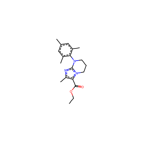 CCOC(=O)c1c(C)nc2n1CCCN2c1c(C)cc(C)cc1C